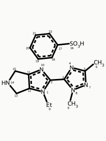 CCn1c(-c2nc(C)nn2C)nc2c1CNC2.O=S(=O)(O)c1ccccc1